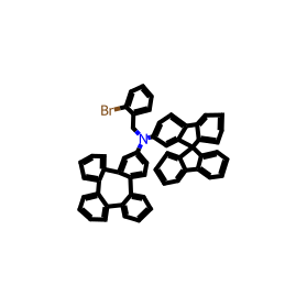 Brc1ccccc1CN(c1ccc2c(c1)-c1ccccc1-c1ccccc1-c1ccccc1-2)c1ccc2c(c1)C1(c3ccccc3-c3ccccc31)c1ccccc1-2